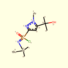 CC(C)n1nc(S(=O)(Cl)=N[Si](C)(C)C(C)(C)C)cc1C(C)(C)O